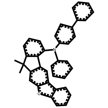 CC1(C)c2cc3oc4ccccc4c3cc2-c2c(N(c3ccccc3)c3ccc(-c4ccccc4)cc3)cccc21